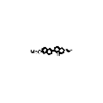 COc1ccc2c(c1)CCC(C1CCC3C[C@H](C=CF)CC[C@@H]3C1)C2